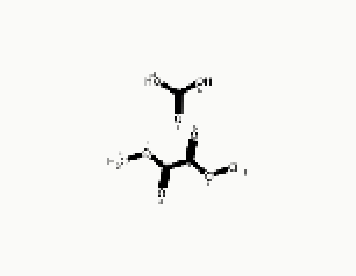 COC(=O)C(=O)OC.O=C(O)O